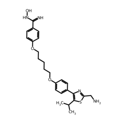 CC(C)c1sc(CN)nc1-c1ccc(OCCCCCOc2ccc(C(=N)NO)cc2)cc1